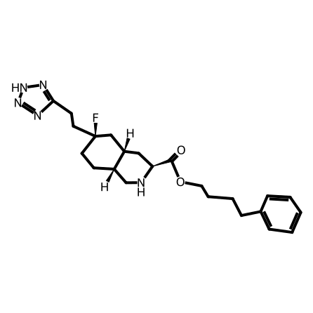 O=C(OCCCCc1ccccc1)[C@@H]1C[C@H]2C[C@@](F)(CCc3nn[nH]n3)CC[C@H]2CN1